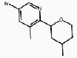 Cc1cc(Br)cnc1C1CC(C)CCO1